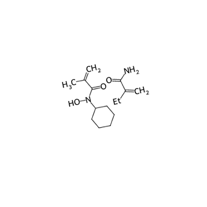 C=C(C)C(=O)N(O)C1CCCCC1.C=C(CC)C(N)=O